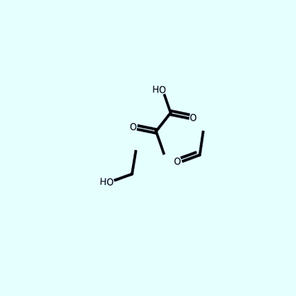 CC(=O)C(=O)O.CC=O.CCO